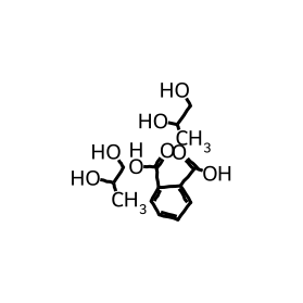 CC(O)CO.CC(O)CO.O=C(O)c1ccccc1C(=O)O